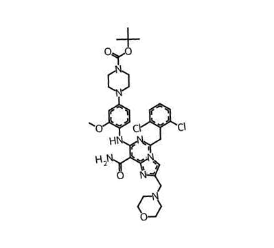 COc1cc(N2CCN(C(=O)OC(C)(C)C)CC2)ccc1Nc1nc(Cc2c(Cl)cccc2Cl)n2cc(CN3CCOCC3)nc2c1C(N)=O